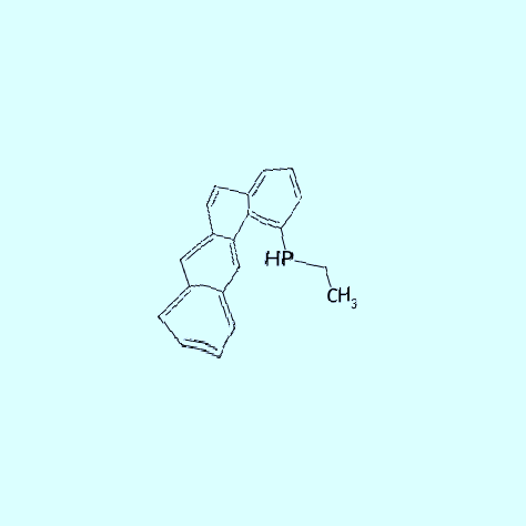 CCPc1cccc2ccc3cc4ccccc4cc3c12